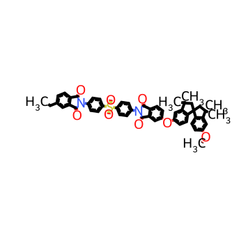 CCc1ccc2c(c1)C(=O)N(c1ccc(S(=O)(=O)c3ccc(N4C(=O)c5ccc(Oc6ccc7c(c6)C(C)(C)CC76CC(C)(C)c7cc(OC)ccc76)cc5C4=O)cc3)cc1)C2=O